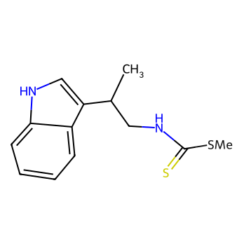 CSC(=S)NCC(C)c1c[nH]c2ccccc12